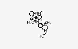 C#CCN1CCN(C)c2cc(Nc3ncc(Cl)c(N[C@@H]4CCCC[C@H]4NS(C)(=O)=O)n3)ccc2C1